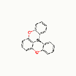 C[Si]12c3ccccc3Oc3cccc(c31)Oc1ccccc12